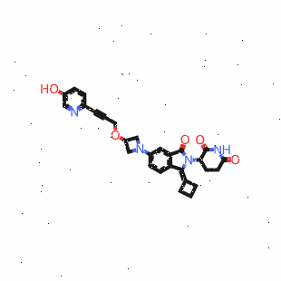 O=C1CCC(N2C(=O)c3cc(N4CC(OCC#Cc5ccc(O)cn5)C4)ccc3C2=C2CCC2)C(=O)N1